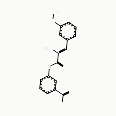 COc1cccc(/C=C(\C)C(=O)Nc2cccc(C(=O)O)c2)c1